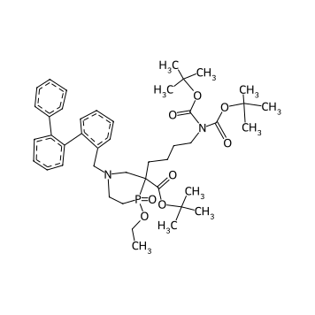 CCOP1(=O)CCN(Cc2ccccc2-c2ccccc2-c2ccccc2)CC1(CCCCN(C(=O)OC(C)(C)C)C(=O)OC(C)(C)C)C(=O)OC(C)(C)C